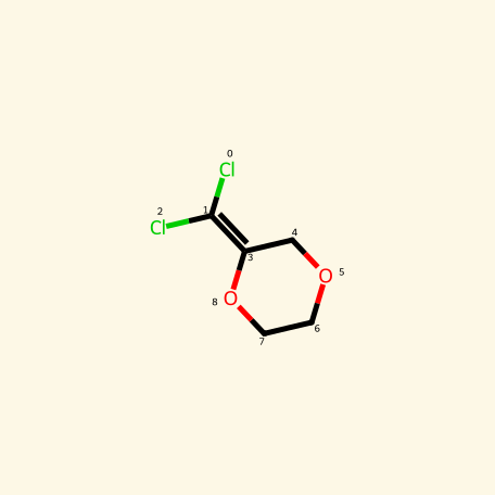 ClC(Cl)=C1COCCO1